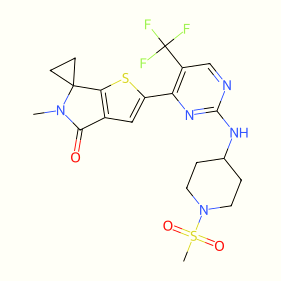 CN1C(=O)c2cc(-c3nc(NC4CCN(S(C)(=O)=O)CC4)ncc3C(F)(F)F)sc2C12CC2